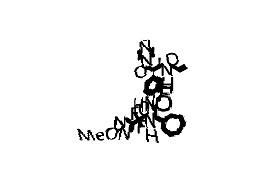 C=CC(=O)N[C@H](C)[C@@H](C(=O)N1CCN(C)CC1)c1ccc(NC(=O)[C@@H](NC(=O)C(F)(F)c2cnc(OC)nc2)C2CCCCCC2)c(F)c1